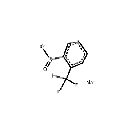 O=S([O-])c1ccccc1C(F)(F)F.[Na+]